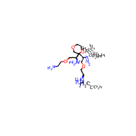 CC(=O)O.CC(=O)O.CC(=O)O.CC(=O)O.NCCOCC(N)C1(C(N)COCCN)COCCO1